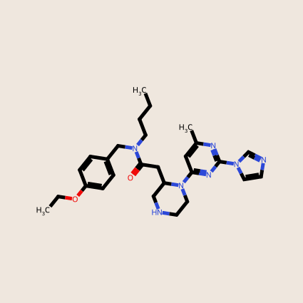 CCCCN(Cc1ccc(OCC)cc1)C(=O)CC1CNCCN1c1cc(C)nc(-n2ccnc2)n1